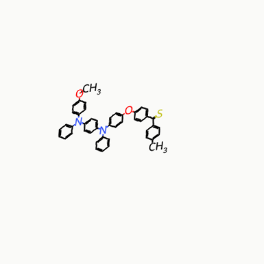 COc1ccc(N(c2ccccc2)c2ccc(N(c3ccccc3)c3ccc(Oc4ccc(C(=S)c5ccc(C)cc5)cc4)cc3)cc2)cc1